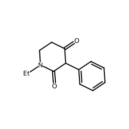 CCN1CCC(=O)C(c2ccccc2)C1=O